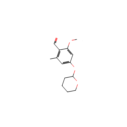 COc1cc(OC2CCCCO2)cc(C)c1C=O